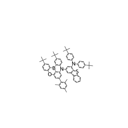 Cc1cc(C)c(-c2cc3c4c(c2)N(c2cc(N(c5ccc(C(C)(C)C)cc5)c5ccc(C(C)(C)C)cc5)c5sc6ccccc6c5c2)c2ccc(C(C)(C)C)cc2B4c2cc(C(C)(C)C)ccc2O3)c(C)c1